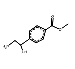 COC(=O)c1ccc(C(O)CN)cc1